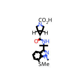 CSc1cccc2c(C(C)(C)NC(=O)[C@@H]3[C@@H]4CN(C(=O)O)C[C@@H]43)nn(C)c12